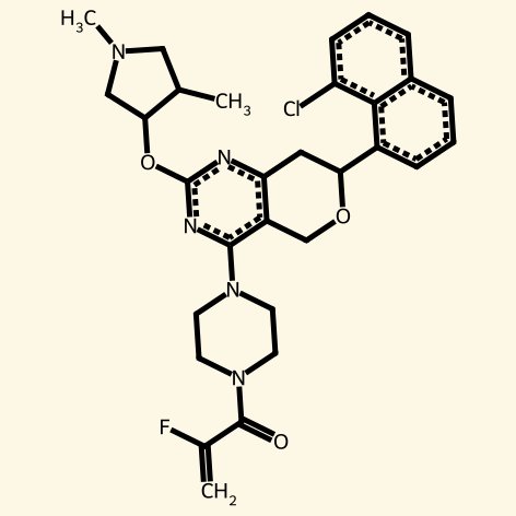 C=C(F)C(=O)N1CCN(c2nc(OC3CN(C)CC3C)nc3c2COC(c2cccc4cccc(Cl)c24)C3)CC1